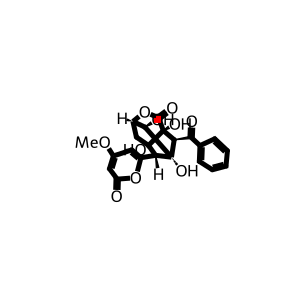 COc1cc([C@H]2[C@@]3(O)[C@H](O)[C@H]4C[C@]2(O)[C@](O)(C(=O)O4)[C@H]3C(=O)c2ccccc2)oc(=O)c1